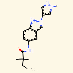 CSCC(C)(C)C(=O)Nc1ccc2nn(-c3cnn(C)c3)cc2c1